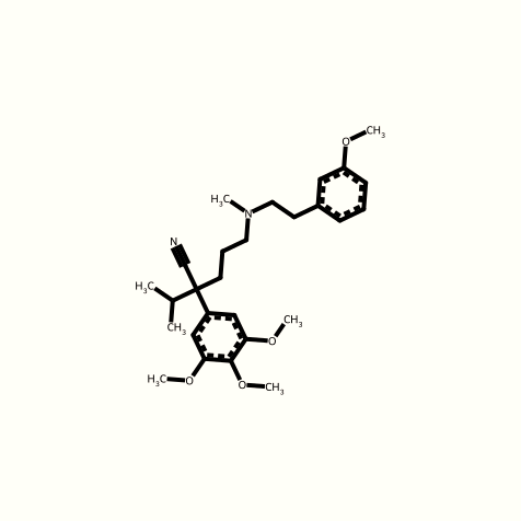 COc1cccc(CCN(C)CCCC(C#N)(c2cc(OC)c(OC)c(OC)c2)C(C)C)c1